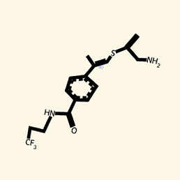 C=C(CN)S/C=C(\C)c1ccc(C(=O)NCCC(F)(F)F)cc1